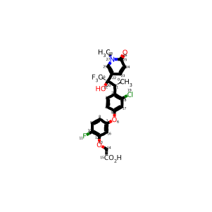 C[C@H](c1ccc(Oc2ccc(F)c(OCC(=O)O)c2)cc1Cl)[C@@](O)(c1ccc(=O)n(C)c1)C(F)(F)F